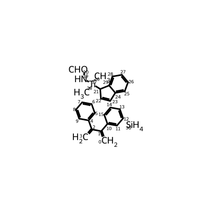 C=C(C(=C)c1ccccc1)c1ccccc1.[CH3][Ti]([CH3])([NH]C=O)[CH]1C=Cc2ccccc21.[SiH4]